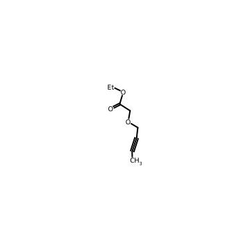 CC#CCOCC(=O)OCC